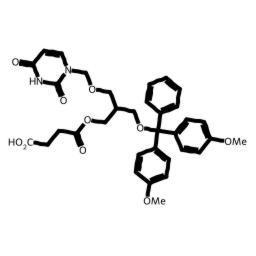 COc1ccc(C(OCC(COCn2ccc(=O)[nH]c2=O)COC(=O)CCC(=O)O)(c2ccccc2)c2ccc(OC)cc2)cc1